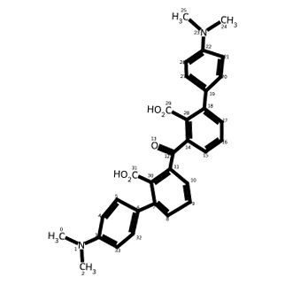 CN(C)c1ccc(-c2cccc(C(=O)c3cccc(-c4ccc(N(C)C)cc4)c3C(=O)O)c2C(=O)O)cc1